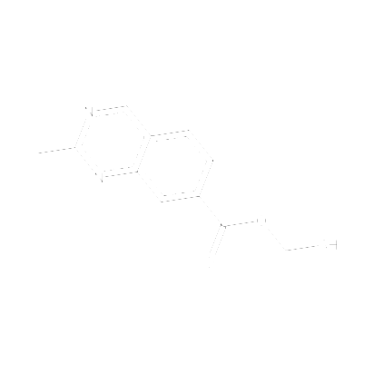 Cc1ncc2ccc(C(=O)OCS)cc2n1